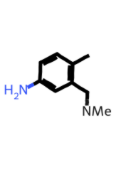 CNCc1cc(N)ccc1C